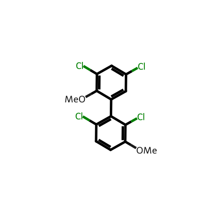 COc1ccc(Cl)c(-c2cc(Cl)cc(Cl)c2OC)c1Cl